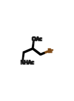 CC(=O)NCC(CBr)OC(C)=O